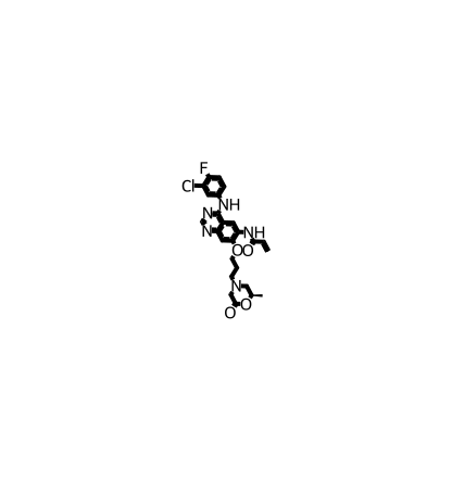 C=CC(=O)Nc1cc2c(Nc3ccc(F)c(Cl)c3)ncnc2cc1OCCCN1CC(=O)O[C@H](C)C1